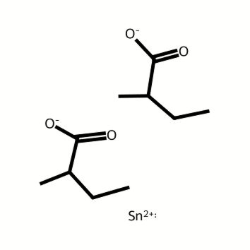 CCC(C)C(=O)[O-].CCC(C)C(=O)[O-].[Sn+2]